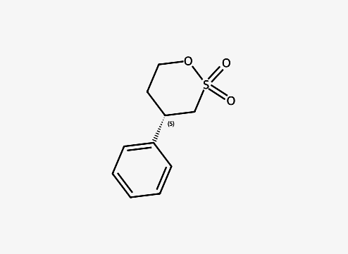 O=S1(=O)C[C@H](c2ccccc2)CCO1